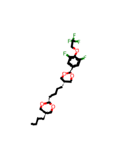 CCCC[C@H]1CO[C@H](CCCC[C@H]2CO[C@H](c3cc(F)c(OCC(F)(F)F)c(F)c3)OC2)OC1